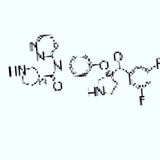 O=C([C@H]1CCNC1)N(c1ccc(O[C@]2(C(=O)c3cc(F)cc(F)c3)CCNC2)cc1)c1cccnn1